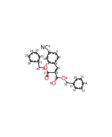 N#Cc1ccc(C=C(C(=O)OCc2ccccc2)C(=O)OCc2ccccc2)cc1